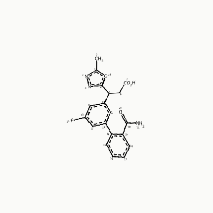 Cc1nnc(C(CC(=O)O)c2cc(F)cc(-c3ccccc3C(N)=O)c2)o1